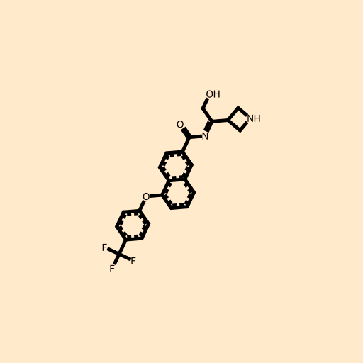 O=C(/N=C(\CO)C1CNC1)c1ccc2c(Oc3ccc(C(F)(F)F)cc3)cccc2c1